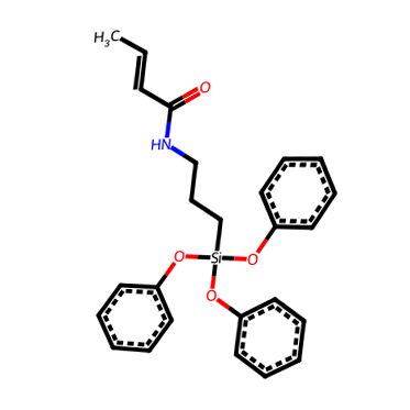 CC=CC(=O)NCCC[Si](Oc1ccccc1)(Oc1ccccc1)Oc1ccccc1